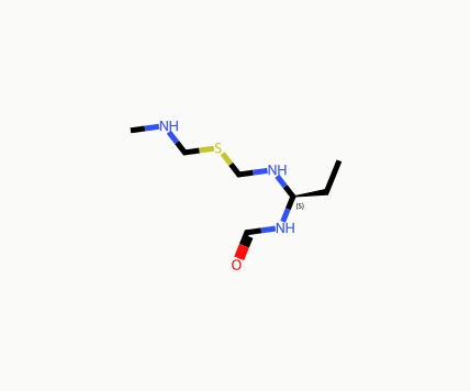 CC[C@@H](NC=O)NCSCNC